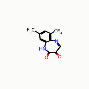 O=c1cnc2c(C(F)(F)F)cc(C(F)(F)F)cc2[nH]c1=O